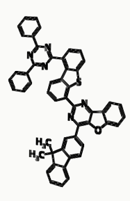 CC1(C)c2ccccc2-c2ccc(-c3nc(-c4cccc5c4sc4cccc(-c6nc(-c7ccccc7)nc(-c7ccccc7)n6)c45)nc4c3oc3ccccc34)cc21